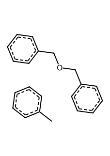 Cc1ccccc1.c1ccc(COCc2ccccc2)cc1